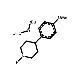 CC(C)(C)OC=O.COc1ccc(C2CCN(F)CC2)cc1